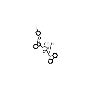 O=C(N[C@@H](Cc1cn(COc2ccc(I)cc2)c2ccccc12)C(=O)O)OCC1c2ccccc2-c2ccccc21